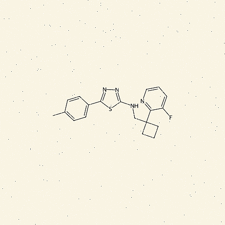 Cc1ccc(-c2nnc(NCC3(c4ncccc4F)CCC3)s2)cc1